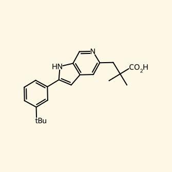 CC(C)(Cc1cc2cc(-c3cccc(C(C)(C)C)c3)[nH]c2cn1)C(=O)O